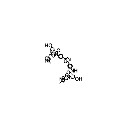 Cc1cc(CC(=O)N2C[C@H](O)C[C@H]2C(=O)Nc2ccc(-c3cnc(-c4ccc(NC(=O)[C@@H]5C[C@@H](O)CN5C(=O)Cc5cc(C)no5)cc4)o3)cc2)on1